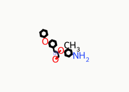 Cc1cc(N)ccc1O/C(C=O)=C\c1cccc(Oc2ccccc2)c1